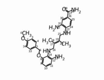 COc1ccc(COc2cccc(N)c2NC/C(C)=C(\C)CNc2ccc(C(N)=O)cc2N)cc1